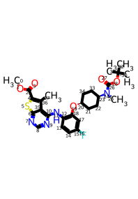 COC(=O)c1sc2ncnc(Nc3ccc(F)cc3O[C@H]3CC[C@H](N(C)C(=O)OC(C)(C)C)CC3)c2c1C